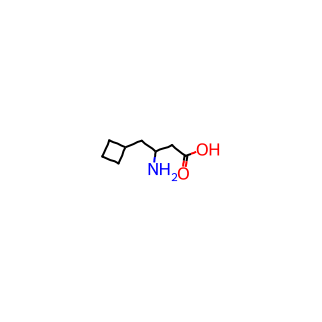 NC(CC(=O)O)CC1CCC1